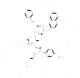 CC(C)(C)OC(=O)CC[C@H](NC(=O)[C@H](CC(=O)OC(C)(C)C)NC(=O)[C@H](Cc1ccc2ccccc2c1)NC(=O)OCc1ccccc1)C(=O)Nc1ccc(OC(F)(F)F)cc1